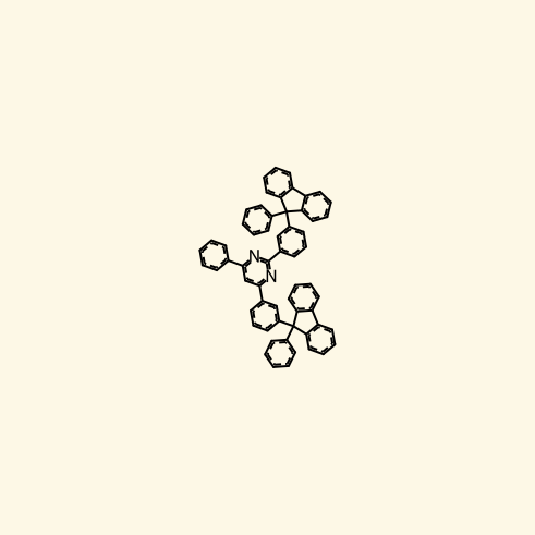 c1ccc(-c2cc(-c3cccc(C4(c5ccccc5)c5ccccc5-c5ccccc54)c3)nc(-c3cccc(C4(c5ccccc5)c5ccccc5-c5ccccc54)c3)n2)cc1